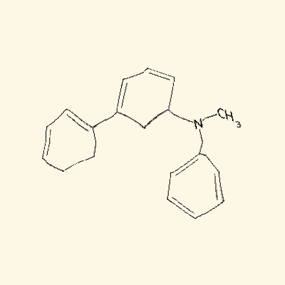 CN(c1ccccc1)C1C=CC=C(C2=CC=CCC2)C1